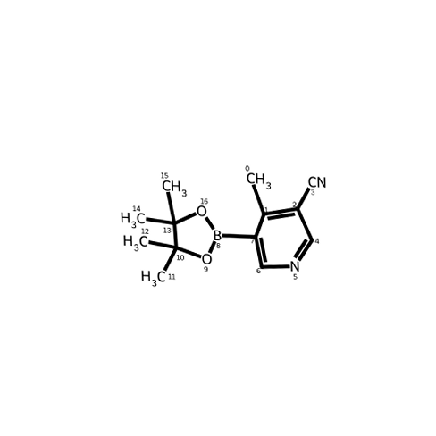 Cc1c(C#N)cncc1B1OC(C)(C)C(C)(C)O1